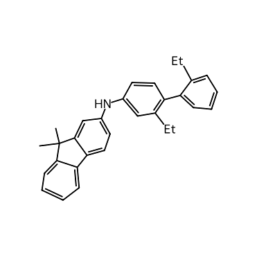 CCc1ccccc1-c1ccc(Nc2ccc3c(c2)C(C)(C)c2ccccc2-3)cc1CC